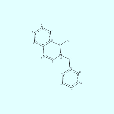 CC1c2cnccc2N=CN1Cc1ccccc1